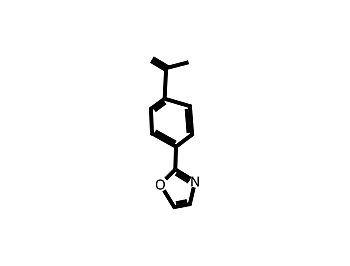 C=C(C)c1ccc(-c2ncco2)cc1